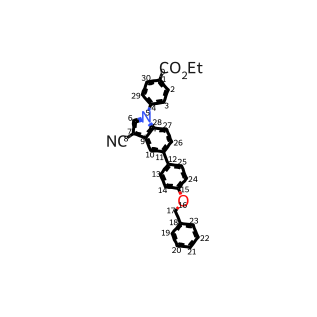 CCOC(=O)c1ccc(-n2cc(C#N)c3cc(-c4ccc(OCc5ccccc5)cc4)ccc32)cc1